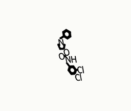 O=C(NCc1ccc(Cl)c(Cl)c1)OC1CCN(Cc2ccccc2)C1